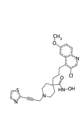 COc1ccc2ncc(Cl)c(CCCC3(C(=O)NO)CCN(CC#Cc4nccs4)CC3)c2c1